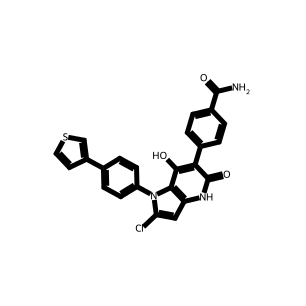 NC(=O)c1ccc(-c2c(O)c3c(cc(Cl)n3-c3ccc(-c4ccsc4)cc3)[nH]c2=O)cc1